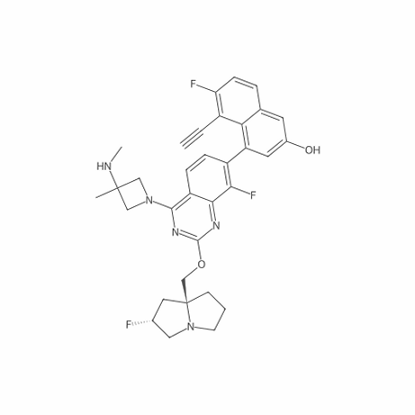 C#Cc1c(F)ccc2cc(O)cc(-c3ccc4c(N5CC(C)(NC)C5)nc(OC[C@@]56CCCN5C[C@H](F)C6)nc4c3F)c12